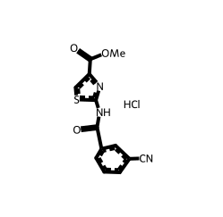 COC(=O)c1csc(NC(=O)c2cccc(C#N)c2)n1.Cl